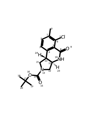 Cc1ccc2c(c1Cl)C(=O)N[C@H]1CN(C(=O)OC(C)(C)C)C[C@H]21